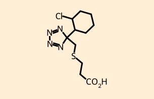 O=C(O)CCSCC1(C2CCCCC2Cl)N=NN=N1